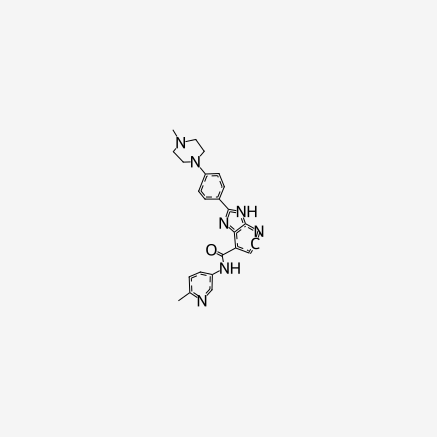 Cc1ccc(NC(=O)c2ccnc3[nH]c(-c4ccc(N5CCN(C)CC5)cc4)nc23)cn1